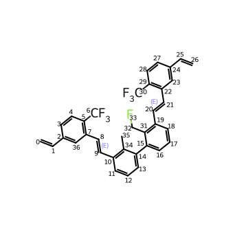 C=Cc1ccc(C(F)(F)F)c(/C=C/c2cccc(-c3cccc(/C=C/c4cc(C=C)ccc4C(F)(F)F)c3CF)c2C)c1